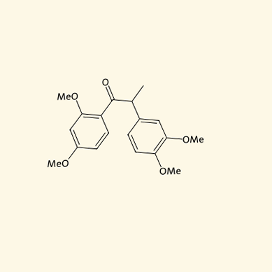 COc1ccc(C(=O)C(C)c2ccc(OC)c(OC)c2)c(OC)c1